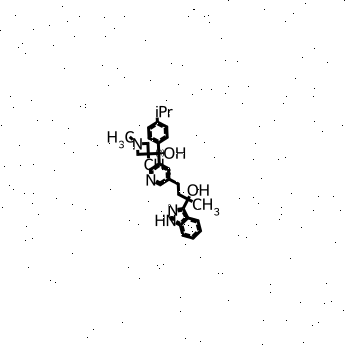 CC(C)c1ccc([C@](O)(c2cncc(CCC(C)(O)c3n[nH]c4ccccc34)c2)C2(C)CN(C)C2)cc1